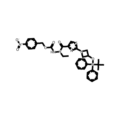 CCN(NC(=O)OCc1ccc([N+](=O)[O-])cc1)C(=O)c1csc(N2CC(O[Si](c3ccccc3)(c3ccccc3)C(C)(C)C)C2)n1